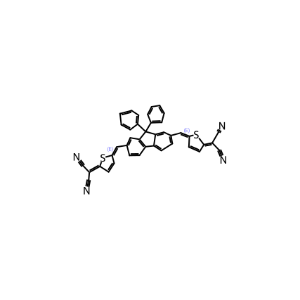 N#CC(C#N)=c1cc/c(=C\c2ccc3c(c2)C(c2ccccc2)(c2ccccc2)c2cc(/C=c4\ccc(=C(C#N)C#N)s4)ccc2-3)s1